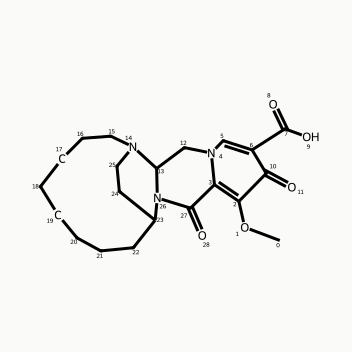 COc1c2n(cc(C(=O)O)c1=O)CC1N3CCCCCCCCC(CC3)N1C2=O